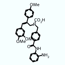 COc1ccc(C(=Cc2ccc(OC)c(OC)c2)CN(Cc2ccc(C(=O)Nc3ccccc3N)cc2)C(=O)O)cc1